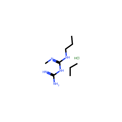 CCC.CCCNC(=NC)NC(=N)N.Cl